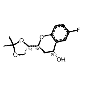 CC1(C)OC[C@@H]([C@@H]2C[C@@H](O)c3cc(F)ccc3O2)O1